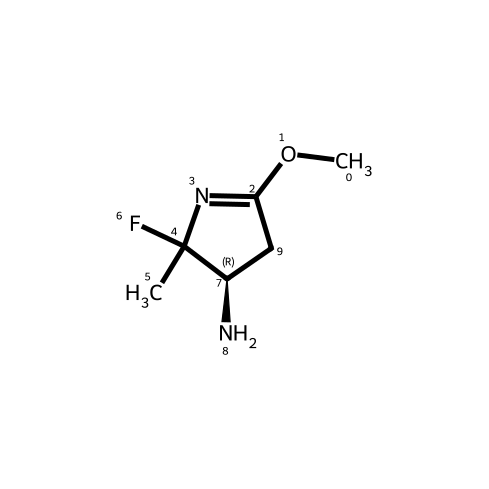 COC1=NC(C)(F)[C@H](N)C1